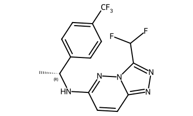 C[C@@H](Nc1ccc2nnc(C(F)F)n2n1)c1ccc(C(F)(F)F)cc1